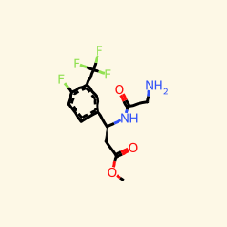 COC(=O)C[C@H](NC(=O)CN)c1ccc(F)c(C(F)(F)F)c1